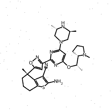 C[C@H](Oc1cc(N2C[C@H](C)N[C@@H](C)C2)nc(-c2cc([C@@]3(C)CCCc4sc(N)c(C#N)c43)on2)n1)[C@@H]1CCCN1C